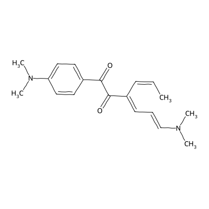 C\C=C/C(=C\C=C\N(C)C)C(=O)C(=O)c1ccc(N(C)C)cc1